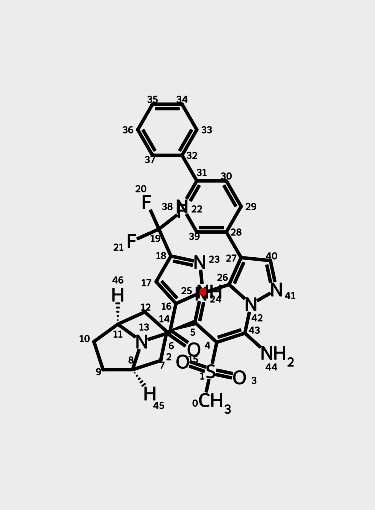 CS(=O)(=O)c1c([C@H]2C[C@H]3CC[C@@H](C2)N3C(=O)c2cc(C(F)(F)F)n[nH]2)nc2c(-c3ccc(-c4ccccc4)nc3)cnn2c1N